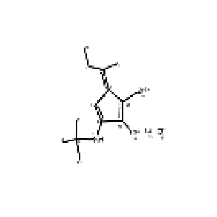 CCC(C)=C1C=C(NC(C)(C)C)C(O)=[C]1[Zr+2].[Cl-].[Cl-]